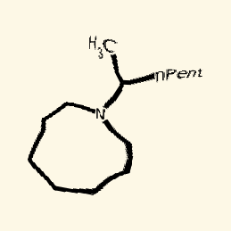 CCCCCC(C)N1CCCCCCC1